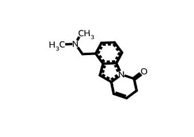 CN(C)Cc1cccc2c1cc1n2C(=O)CC=C1